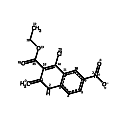 C=C1Nc2ccc([N+](=O)[O-])cc2C(Cl)=C1C(=O)OCC